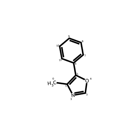 Cc1ncoc1-c1ccccc1